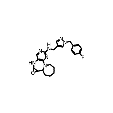 Fc1ccc(Cn2cc(CNc3ncc4c(n3)N3CCCCCC3C3OC3N4)cn2)cc1